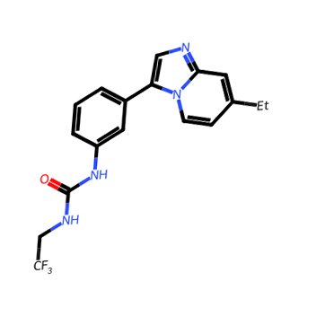 CCc1ccn2c(-c3cccc(NC(=O)NCC(F)(F)F)c3)cnc2c1